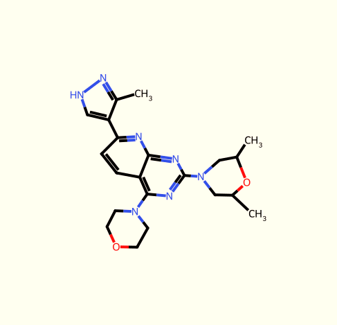 Cc1n[nH]cc1-c1ccc2c(N3CCOCC3)nc(N3CC(C)OC(C)C3)nc2n1